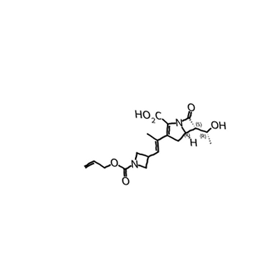 C=CCOC(=O)N1CC(C=C(C)C2=C(C(=O)O)N3C(=O)[C@H]([C@@H](C)O)[C@H]3C2)C1